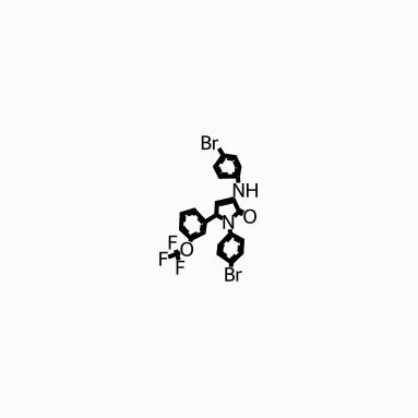 O=C1C(Nc2ccc(Br)cc2)=CC(c2cccc(OC(F)(F)F)c2)N1c1ccc(Br)cc1